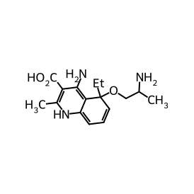 CCC1(OCC(C)N)C=CC=C2NC(C)=C(C(=O)O)C(N)=C21